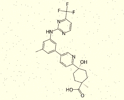 Cc1cc(Nc2nccc(C(F)(F)F)n2)cc(-c2ccc([C@]3(O)CC[C@](C)(C(=O)O)CC3)nc2)c1